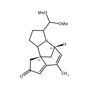 COC(OC)C1CCC2N1[C@@H]1C=C(C)C3=CC(=O)C[C@@]32C1